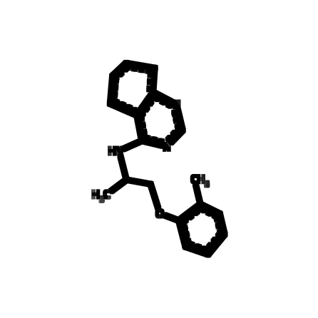 Cc1ccccc1OCC(C)Nc1ncnc2ccccc12